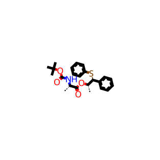 C[C@H](NC(=O)OC(C)(C)C)C(=O)O[C@@H](C)[C@H](Sc1ccccc1)c1ccccc1